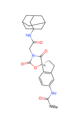 CNC(=O)Nc1ccc2c(c1)CC[C@@]21OC(=O)N(CC(=O)NC23CC4CC(CC(C4)C2)C3)C1=O